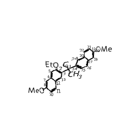 CCOC(=O)C(C)(c1ccc2cc(OC)ccc2c1)c1ccc2cc(OC)ccc2c1